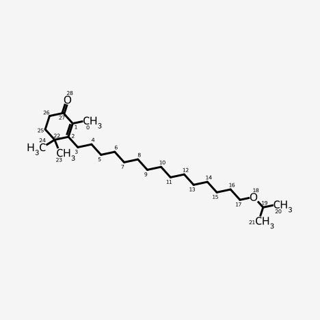 CC1=C(CCCCCCCCCCCCCCCOC(C)C)C(C)(C)CCC1=O